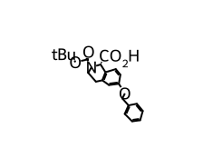 CC(C)(C)OC(=O)N1CCc2cc(OCc3ccccc3)ccc2[C@H]1C(=O)O